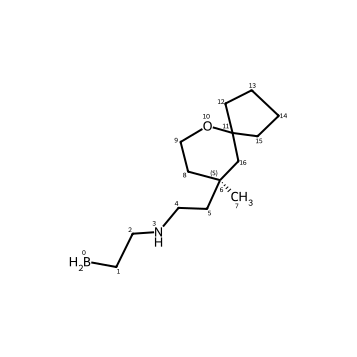 BCCNCC[C@@]1(C)CCOC2(CCCC2)C1